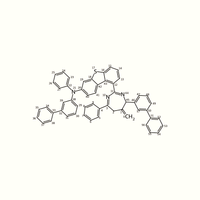 C=C1CC(c2ccccc2)=NC(c2cccc3sc4cc(N(c5ccccc5)c5cccc(-c6ccccc6)c5)ccc4c23)=NC1c1cccc(-c2ccccc2)c1